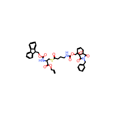 C=CCOC(=O)C(CSC(=O)CCCNC(=O)OCC12C=CC(O1)C1C(=O)N(Cc3ccccc3)C(=O)C12)NC(=O)OCC1c2ccccc2-c2ccccc21